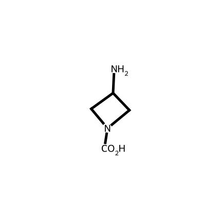 NC1CN(C(=O)O)C1